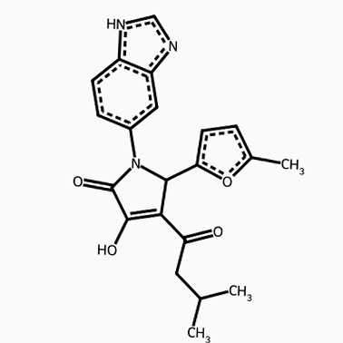 Cc1ccc(C2C(C(=O)CC(C)C)=C(O)C(=O)N2c2ccc3[nH]cnc3c2)o1